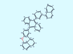 c1cc(-c2cccc3ccccc23)cc(-c2c3ccccc3c(-c3ccc4c(c3)-c3cccc5cccc(c35)O4)c3ccccc23)c1